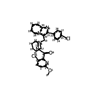 COc1ccc(Cl)c(C(=O)N2CCC3CCC2CN3Cc2c(-c3ccc(Cl)cc3)nc3ccccn23)n1